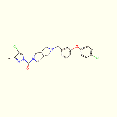 Cc1nn(C(=O)N2CC3CN(Cc4cccc(Oc5ccc(Cl)cc5)c4)CC3C2)cc1Cl